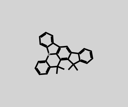 CC1(C)c2ccccc2-c2cc3c4ccccc4n4c3c(c21)C(C)(C)c1ccccc1-4